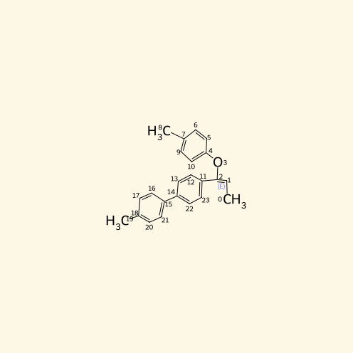 C/C=C(/Oc1ccc(C)cc1)c1ccc(-c2ccc(C)cc2)cc1